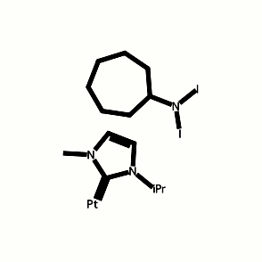 CC(C)n1ccn(C)[c]1=[Pt].IN(I)C1CCCCCC1